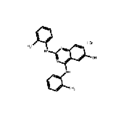 Br.Cc1ccccc1Nc1nc(Nc2ccccc2C)c2cc(O)ccc2n1